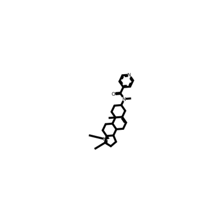 CC1C2CCC3C4CC=C5CC(N(C)C(=O)c6ccncc6)CCC5(C)C4CCC32CN1C